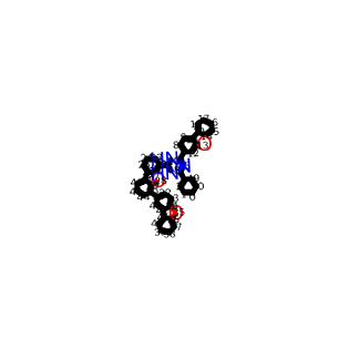 c1ccc(C2N=C(c3ccc4c(c3)oc3ccccc34)NC(c3cccc4c3oc3c(-c5ccc6oc7ccccc7c6c5)cccc34)N2)cc1